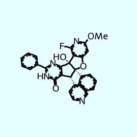 COc1cc2c(c(F)n1)[C@]1(O)c3nc(-c4ccccc4)[nH]c(=O)c3[C@@H](c3ccncc3)[C@]1(c1ccccc1)O2